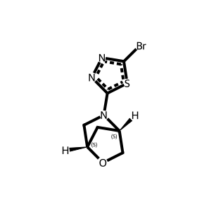 Brc1nnc(N2C[C@@H]3C[C@H]2CO3)s1